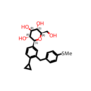 CSc1ccc(Cc2cc([C@@H]3O[C@H](CO)[C@@H](O)[C@H](O)[C@H]3O)ccc2C2CC2)cc1